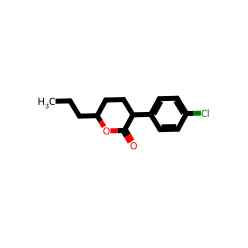 CCCC1CCC(c2ccc(Cl)cc2)C(=O)O1